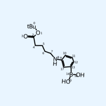 CC(C)(C)OC(=O)CCCCNc1cccc(B(O)O)c1